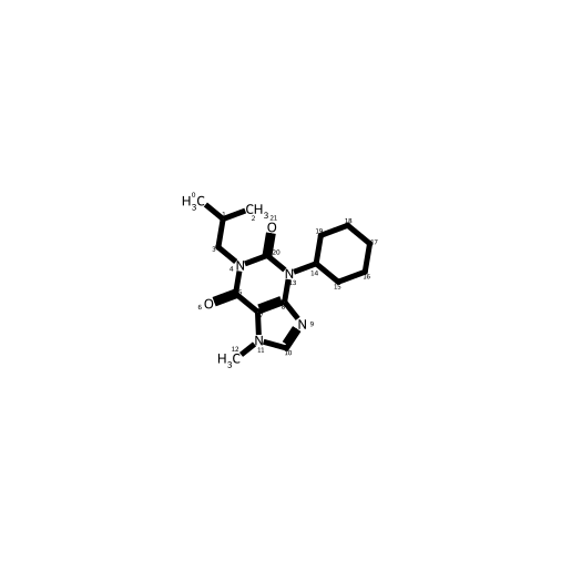 CC(C)Cn1c(=O)c2c(ncn2C)n(C2CCCCC2)c1=O